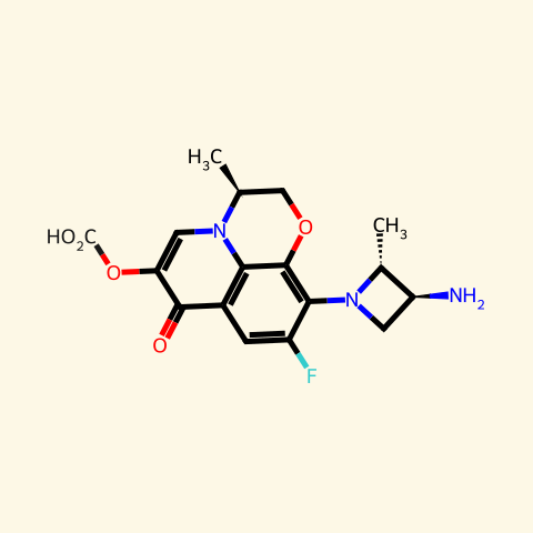 C[C@@H]1[C@@H](N)CN1c1c(F)cc2c(=O)c(OC(=O)O)cn3c2c1OC[C@@H]3C